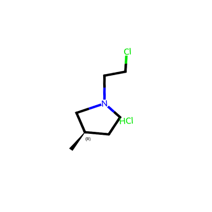 C[C@@H]1CCN(CCCl)C1.Cl